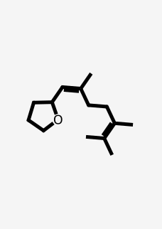 CC(=CC1CCCO1)CCC(C)=C(C)C